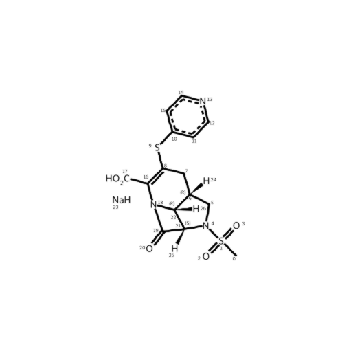 CS(=O)(=O)N1C[C@H]2CC(Sc3ccncc3)=C(C(=O)O)N3C(=O)[C@@H]1[C@@H]23.[NaH]